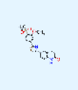 COc1cc(-c2nc(-c3ccc4c(c3)CCC(=O)N4)cs2)ccc1S(C)(=O)=O